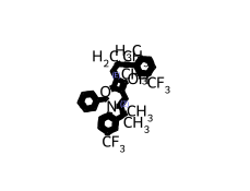 C=C(/C=C1/C(=O)C(/C=C2\N(Cc3ccccc3)c3ccc(C(F)(F)F)cc3C2(C)C)=C1O)C(C)(C)c1cc(C(F)(F)F)ccc1C